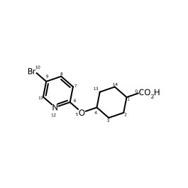 O=C(O)C1CCC(Oc2ccc(Br)cn2)CC1